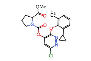 COC(=O)C1CCCN1C(=O)Oc1cc(Cl)nnc1Oc1c(C)cccc1C1CC1